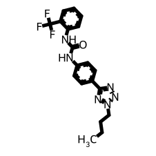 CCCCn1nnc(-c2ccc(NC(=O)Nc3ccccc3C(F)(F)F)cc2)n1